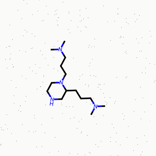 CN(C)CCCC1CNCCN1CCCN(C)C